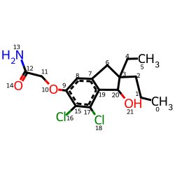 CCCC1(CC)Cc2cc(OCC(N)=O)c(Cl)c(Cl)c2C1O